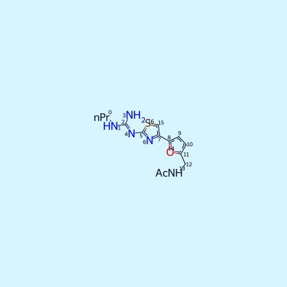 CCCN/C(N)=N/c1nc(-c2ccc(CNC(C)=O)o2)cs1